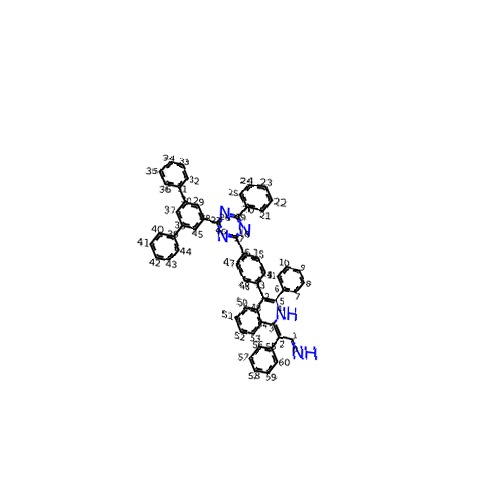 N=C/C(=C1\NC(c2ccccc2)=C(c2ccc(-c3nc(-c4ccccc4)nc(-c4cc(-c5ccccc5)cc(-c5ccccc5)c4)n3)cc2)c2ccccc21)c1ccccc1